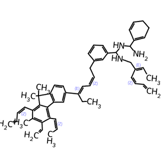 C=C/C=C\C(=C/C)CNC(NC(N)C1=CCCC=C1)c1cccc(C/C=C\C=C(/CC)c2ccc3c(c2)-c2c(/C=C\C)c(C=C)c(C)c(/C=C\C=C)c2C3(C)C)c1